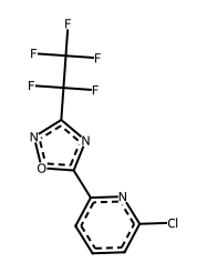 FC(F)(F)C(F)(F)c1noc(-c2cccc(Cl)n2)n1